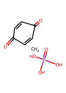 C.O=C1C=CC(=O)C=C1.O=P(O)(O)O